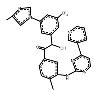 Cc1cn(-c2cc(C(O)C(=O)c3ccc(C)c(Nc4nccc(-c5cccnc5)n4)c3)cc(C(F)(F)F)c2)cn1